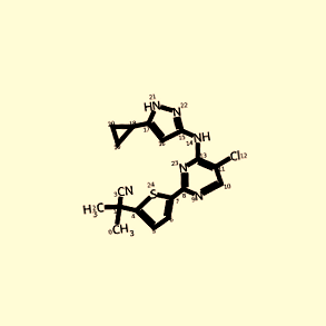 CC(C)(C#N)c1ccc(-c2ncc(Cl)c(Nc3cc(C4CC4)[nH]n3)n2)s1